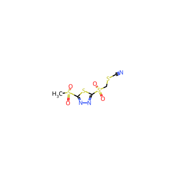 CS(=O)(=O)c1nnc(S(=O)(=O)CSC#N)s1